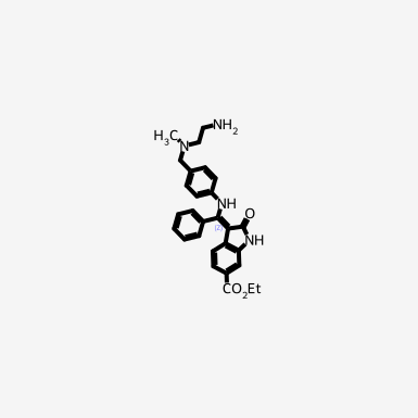 CCOC(=O)c1ccc2c(c1)NC(=O)/C2=C(\Nc1ccc(CN(C)CCN)cc1)c1ccccc1